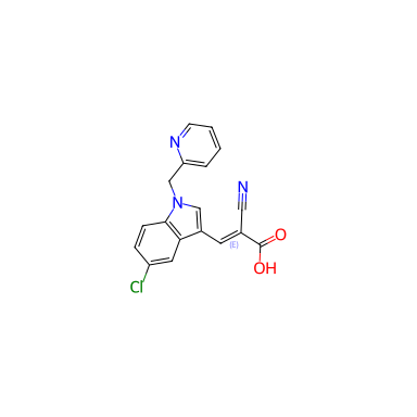 N#C/C(=C\c1cn(Cc2ccccn2)c2ccc(Cl)cc12)C(=O)O